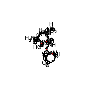 COc1cc2cc(c1Cl)N(C)C(=O)C[C@H](OC(=O)[C@H](C)N(C)C(=O)CCSSCCC(=O)N[C@H](Cc1ccccc1)C(=O)N[C@H]1CSSC[C@@H](C(=O)N[C@@H](Cc3c[nH]c4ccccc34)C(N)=O)NC(=O)[C@H](C(C)C)NC(=O)[C@H](CCCCN)NC(=O)[C@@H](Cc3c[nH]c4ccccc34)NC(=O)[C@H](Cc3ccc(O)cc3)NC1=O)[C@]1(C)O[C@H]1[C@H](C)[C@@H]1CC(I)(NC(=O)O1)[C@H](OC)/C=C/C=C(\C)C2